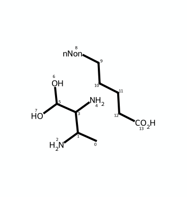 CC(N)C(N)C(O)O.CCCCCCCCCCCCCC(=O)O